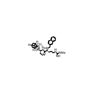 CNC(=N)NCCC[C@H](NCc1ccc2ccccc2c1)C(=O)N[C@@H](CC(C)C)B1O[C@@H]2C[C@@H]3C[C@@H](C3(C)C)[C@]2(C)O1